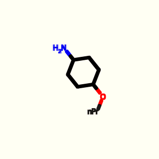 CCCOC1CCC(N)CC1